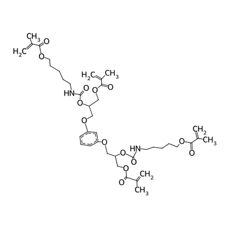 C=C(C)C(=O)OCCCCCNC(=O)OC(COC(=O)C(=C)C)COc1cccc(OCC(COC(=O)C(=C)C)OC(=O)NCCCCCOC(=O)C(=C)C)c1